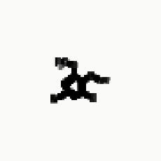 CCCOc1c(Cl)cc(Br)cc1OC(F)(F)F